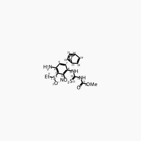 CC[S+]([O-])c1c(N)ccc(NC(=S)NC(=O)OC)c1[N+](=O)[O-].c1cc2ccc1o2